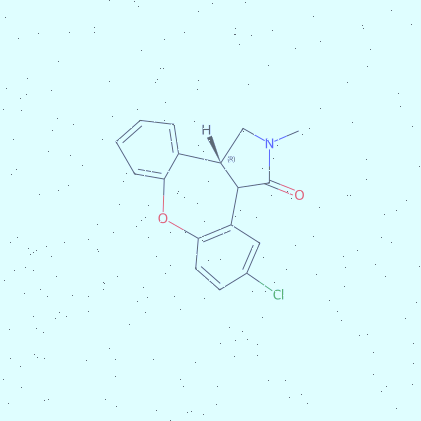 CN1C[C@H]2c3ccccc3Oc3ccc(Cl)cc3C2C1=O